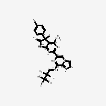 CC1(c2ccc(I)cc2)C(=O)Nc2nc(-c3cn4ccnc4c(NCC(F)(F)C(F)(F)F)n3)nc(N)c21